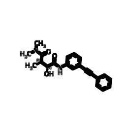 C[C@@H](C(=O)N(C)C)[C@@H](O)C(=O)Nc1cccc(C#Cc2ccccc2)c1